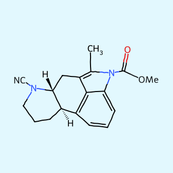 COC(=O)n1c(C)c2c3c(cccc31)[C@H]1CCCN(C#N)[C@@H]1C2